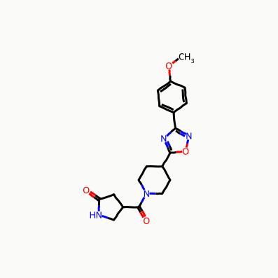 COc1ccc(-c2noc(C3CCN(C(=O)C4CNC(=O)C4)CC3)n2)cc1